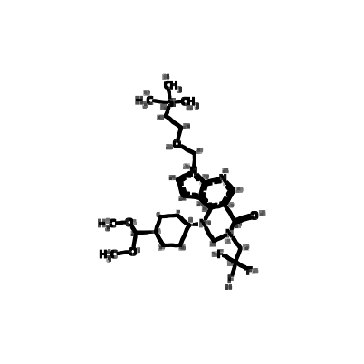 COC(OC)[C@H]1CC[C@H](N2CN(CC(F)(F)F)C(=O)c3cnc4c(ccn4COCC[Si](C)(C)C)c32)CC1